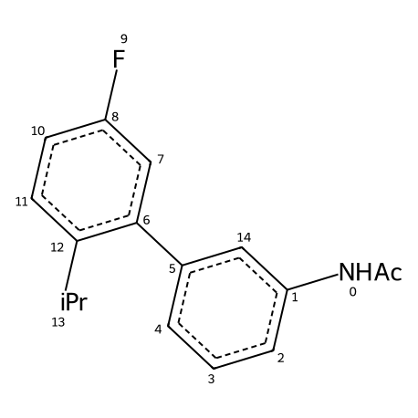 CC(=O)Nc1cccc(-c2cc(F)ccc2C(C)C)c1